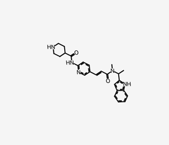 CC(c1cc2ccccc2[nH]1)N(C)C(=O)/C=C/c1ccc(NC(=O)C2CCNCC2)nc1